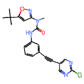 CN(C(=O)Nc1cccc(C#Cc2cnc(Cl)nc2)c1)c1cc(C(C)(C)C)on1